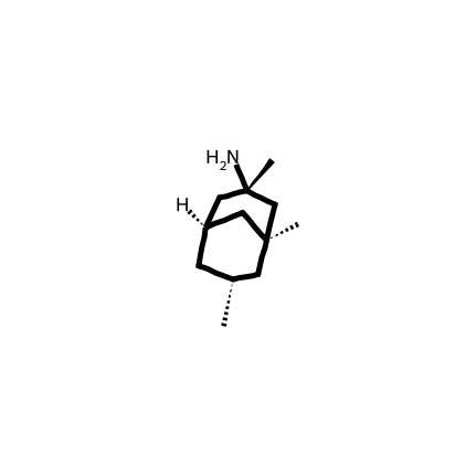 C[C@@H]1C[C@H]2C[C@](C)(N)C[C@@](C)(C1)C2